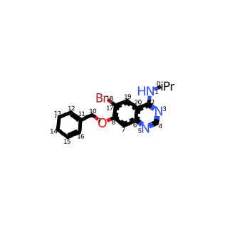 CC(C)Nc1ncnc2cc(OCC3=C[CH]CC=C3)c(Br)cc12